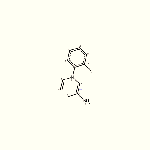 C=CN(/C=C(\C)N)c1ccccc1C